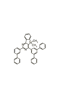 C[Si]1(C)c2ccccc2-c2nc(-c3cccc(-c4ccccc4)c3)nc(-c3cc(-c4ccccc4)cc(-c4ccccc4)c3)c21